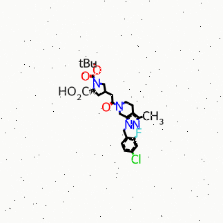 Cc1nn(Cc2ccc(Cl)cc2F)c2c1CCN(C(=O)CC1C[C@H](C(=O)O)N(C(=O)OC(C)(C)C)C1)C2